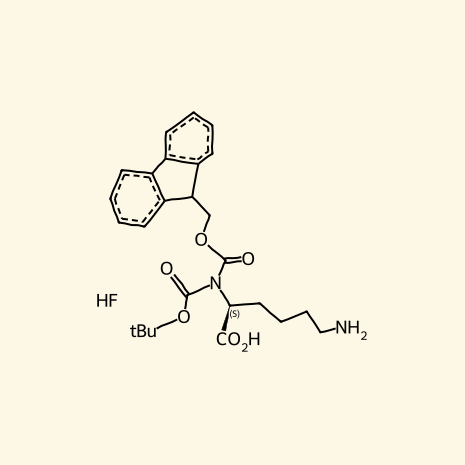 CC(C)(C)OC(=O)N(C(=O)OCC1c2ccccc2-c2ccccc21)[C@@H](CCCCN)C(=O)O.F